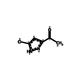 CC(=O)c1cc(Cl)[nH]n1